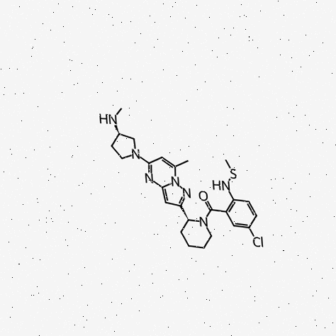 CN[C@@H]1CCN(c2cc(C)n3nc([C@@H]4CCCCN4C(=O)c4cc(Cl)ccc4NSC)cc3n2)C1